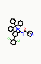 O=C(Nc1nn(C(c2ccccc2)(c2ccccc2)c2ccccc2)c2ccc(-c3c(Cl)cccc3Cl)cc12)C12CCN(CC1)CC2